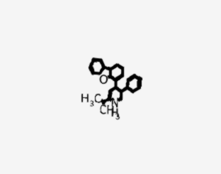 CC(C)C1=CC(C2=CCCC3C2OC2C=CCCC23)C(C2C=CC=CC2)CN1